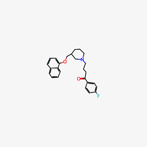 O=C(CCCN1CCCC(COc2cccc3ccccc23)C1)c1ccc(F)cc1